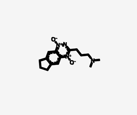 CN(C)CCCc1n[n+]([O-])c2cc3c(cc2[n+]1[O-])CCC3